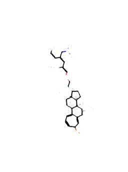 C\C=C/C(=C\C(=C\OCC[C@H]1CC[C@H]2[C@@H]3[C@H](C)CC4=CC(O)C#CC=C4[C@H]3CC[C@]12C)OC)CN(CC)CC